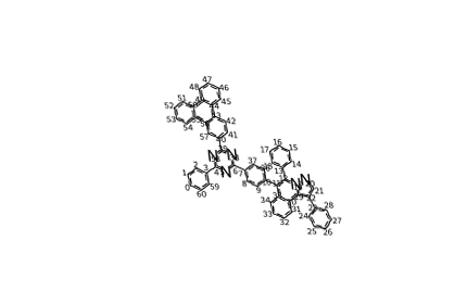 c1ccc(-c2nc(-c3ccc(-c4c(-c5ccccc5)n5ncc(-c6ccccc6)c5c5ccccc45)cc3)nc(-c3ccc4c5ccccc5c5ccccc5c4c3)n2)cc1